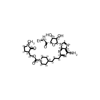 CCNC(=O)[C@H]1O[C@@H](n2cnc3c(N)nc(CCCC4CCN(C(=O)OCC5CCN(C)C5=O)CC4)nc32)C(O)[C@H]1O